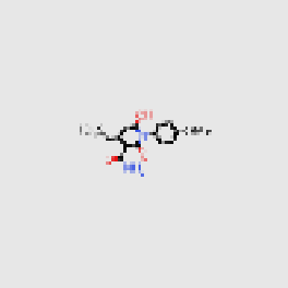 COc1ccc(-n2c(O)cc(CS(=O)(=O)O)c(C(N)=O)c2=O)cc1